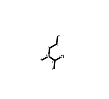 CCCN(C)C(C)Cl